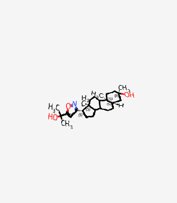 CC(C)(O)c1cc([C@H]2CCC3C4CC[C@H]5C[C@](C)(O)CC[C@]5(C)C4CC[C@@]32C)no1